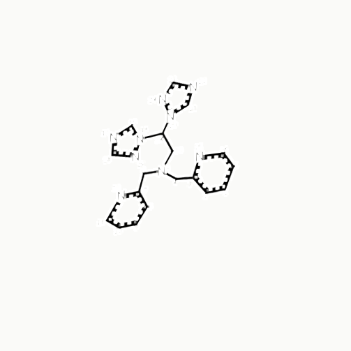 c1ccc(CN(Cc2ccccn2)CC(n2cncn2)n2cncn2)nc1